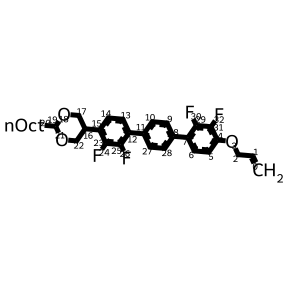 C=CCOc1ccc(-c2ccc(-c3ccc(C4COC(CCCCCCCC)OC4)c(F)c3F)cc2)c(F)c1F